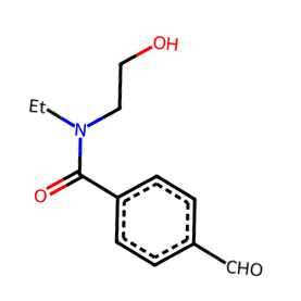 CCN(CCO)C(=O)c1ccc(C=O)cc1